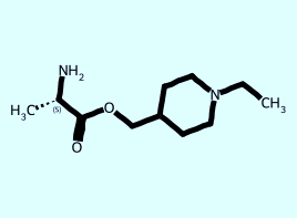 CCN1CCC(COC(=O)[C@H](C)N)CC1